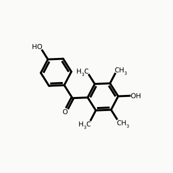 Cc1c(C)c(C(=O)c2ccc(O)cc2)c(C)c(C)c1O